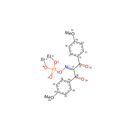 CCOP(=O)(OCC)ON=C(C(=O)c1ccc(OC)cc1)C(=O)c1ccc(OC)cc1